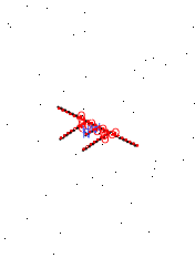 CCCCCCCCCCCCC(=O)OCC(COC(=O)CCCCCCCCCCCC)CC(=O)OCCN(CCOC(=O)CC(COC(=O)CCCCCCCCCCCC)COC(=O)CCCCCCCCCCCC)C(=O)NCCCN(C)C